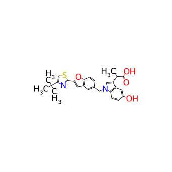 CC(C(=O)O)c1cn(Cc2ccc3oc(-c4nc(C(C)(C)C)cs4)cc3c2)c2ccc(O)cc12